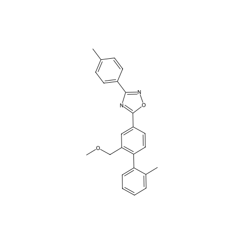 COCc1cc(-c2nc(-c3ccc(C)cc3)no2)ccc1-c1ccccc1C